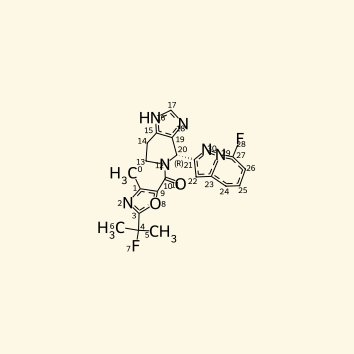 Cc1nc(C(C)(C)F)oc1C(=O)N1CCc2[nH]cnc2[C@@H]1c1cc2cccc(F)n2n1